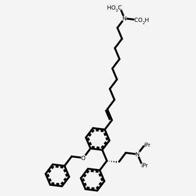 CC(C)N(CC[C@H](c1ccccc1)c1cc(/C=C/CCCCCCCCN(C(=O)O)C(=O)O)ccc1OCc1ccccc1)C(C)C